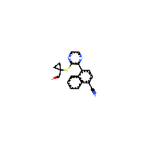 N#Cc1ccc(-c2nccnc2SC2(C=O)CC2)c2ccccc12